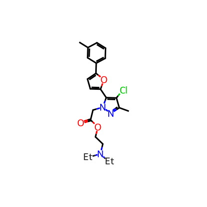 CCN(CC)CCOC(=O)Cn1nc(C)c(Cl)c1-c1ccc(-c2cccc(C)c2)o1